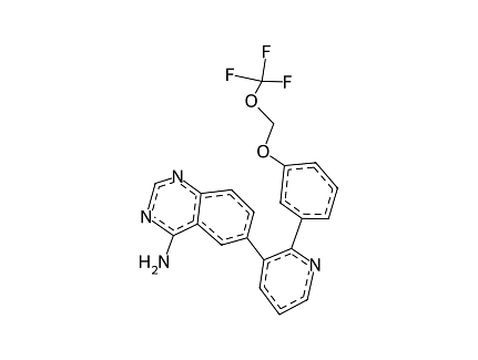 Nc1ncnc2ccc(-c3cccnc3-c3cccc(OCOC(F)(F)F)c3)cc12